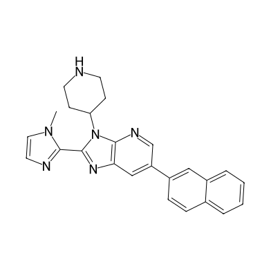 Cn1ccnc1-c1nc2cc(-c3ccc4ccccc4c3)cnc2n1C1CCNCC1